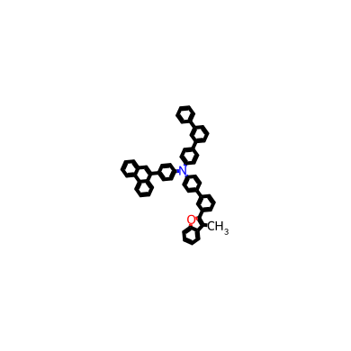 Cc1c(-c2cccc(-c3ccc(N(c4ccc(-c5cccc(-c6ccccc6)c5)cc4)c4ccc(-c5cc6ccccc6c6ccccc56)cc4)cc3)c2)oc2ccccc12